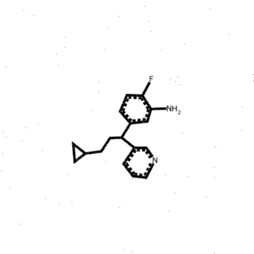 Nc1cc(C(CCC2CC2)c2cccnc2)ccc1F